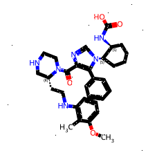 COc1cccc(NCC[C@@H]2CNCCN2C(=O)c2ncn([C@H]3CCCC[C@@H]3NC(=O)O)c2-c2ccccc2)c1C